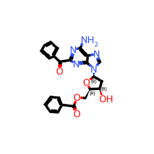 Nc1nc(C(=O)c2ccccc2)nc2c1ncn2[C@H]1C[C@@H](O)[C@@H](COC(=O)c2ccccc2)O1